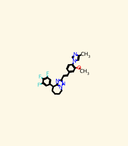 COc1cc(/C=C/c2nc3n(n2)CCCCC3c2cc(F)c(F)c(F)c2)ccc1-n1cnc(C)c1